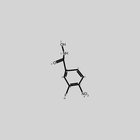 O=C(NO)c1ccc([N+](=O)[O-])c(F)c1